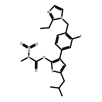 CCc1nccn1Cc1ccc(-c2cc(CC(C)C)sc2OC(=O)N(C)[SH](=O)=O)cc1F